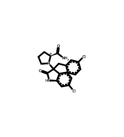 NC(=O)[C@@H]1CCCN1C1(Cc2cccc(Cl)c2)C(=O)Nc2cc(Cl)ccc21